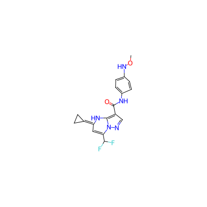 CONc1ccc(NC(=O)c2cnn3c2NC(=C2CC2)C=C3C(F)F)cc1